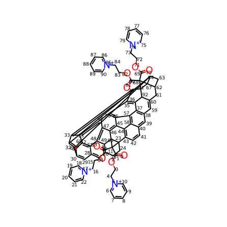 O=C(OCC[n+]1ccccc1)C1(C(=O)OCC[n+]2ccccc2)C23CCc4cc5cc6c7c8c9c%10c%11c%12c%13c(cc%14ccc2c2c%15c%16c%17c(c4C%1613)c5c7c9c%17c%11c%15c%13c%142)C=C1CC2CC8(C=C6)C23C(C(=O)OCC[n+]2ccccc2)(C(=O)OCC[n+]2ccccc2)C%103C1%12